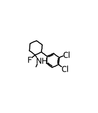 CNC1(F)CCCCC1c1ccc(Cl)c(Cl)c1